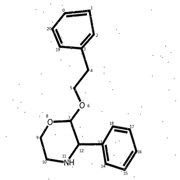 c1ccc(CCOC2OCCNC2c2ccccc2)cc1